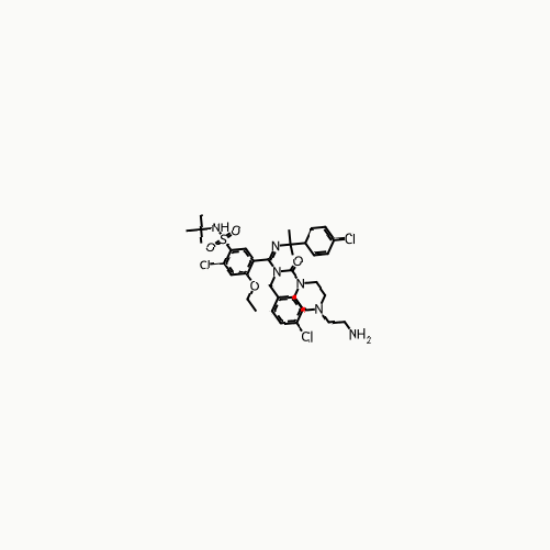 CCOc1cc(Cl)c(S(=O)(=O)NC(C)(C)C)cc1/C(=N/C(C)(C)C1C=CC(Cl)=CC1)N(Cc1ccc(Cl)cc1)C(=O)N1CCN(CCN)CC1